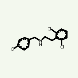 Clc1ccc(CNCCc2c(Cl)cccc2Cl)cc1